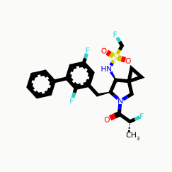 C[C@@H](F)C(=O)N1CC2(CC2)[C@H](NS(=O)(=O)CF)[C@@H]1Cc1cc(F)cc(-c2ccccc2)c1F